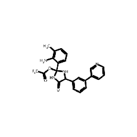 Cc1cccc(C2(OC(=O)C(F)(F)F)NC(=O)C(c3cccc(-c4cccnc4)c3)N2)c1N